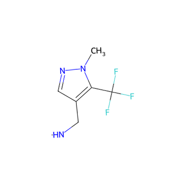 Cn1ncc(C[NH])c1C(F)(F)F